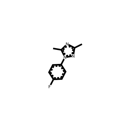 Cc1nc(C)n(-c2ccc(F)cc2)n1